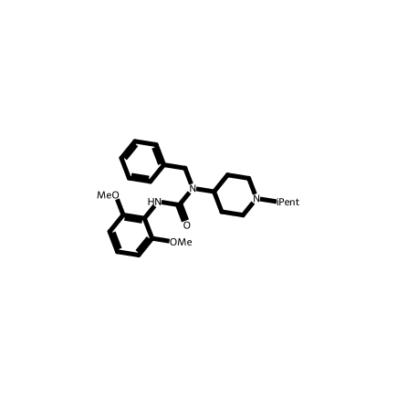 CCCC(C)N1CCC(N(Cc2ccccc2)C(=O)Nc2c(OC)cccc2OC)CC1